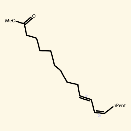 CCCCC/C=C\C=C\CCCCCCCCC(=O)OC